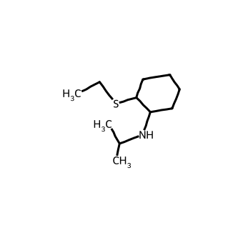 CCSC1CCCCC1NC(C)C